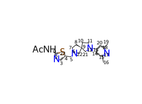 CC(=O)Nc1ncc(CN2CC[C@]3(CCN(c4cc(C)nc(C)c4)C3)C2)s1